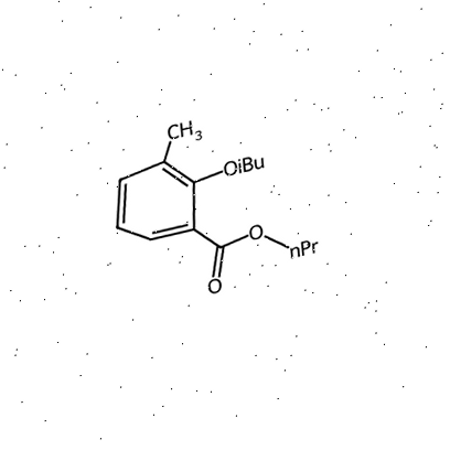 CCCOC(=O)c1cccc(C)c1OCC(C)C